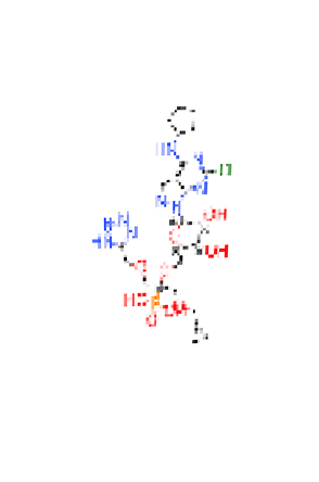 O=P(O)(O)[C@](COCc1nnn[nH]1)(COCC1CC1)OC[C@H]1O[C@@H](n2ncc3c(NC4CCCC4)nc(Cl)nc32)[C@H](O)[C@@H]1O